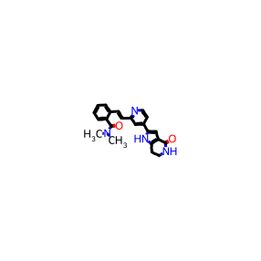 CN(C)C(=O)c1ccccc1C=Cc1cc(-c2cc3c([nH]2)CCNC3=O)ccn1